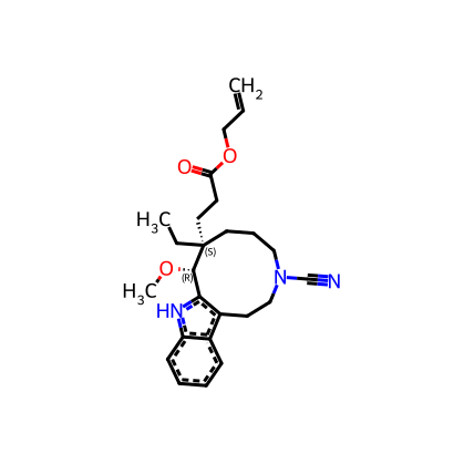 C=CCOC(=O)CC[C@]1(CC)CCCN(C#N)CCc2c([nH]c3ccccc23)[C@@H]1OC